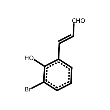 O=C/C=C/c1cccc(Br)c1O